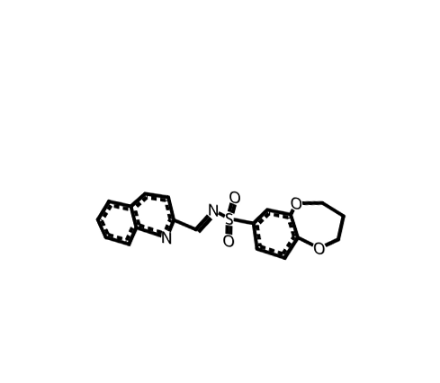 O=S(=O)(N=Cc1ccc2ccccc2n1)c1ccc2c(c1)OCCCO2